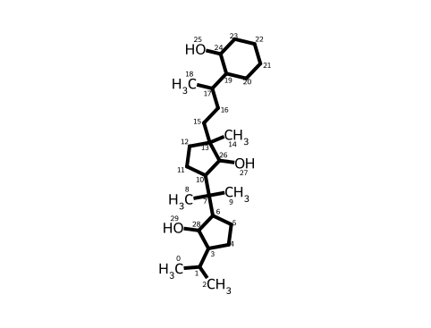 CC(C)C1CCC(C(C)(C)C2CCC(C)(CCC(C)C3CCCCC3O)C2O)C1O